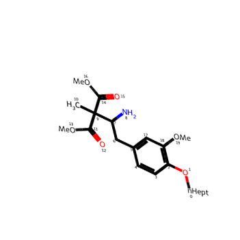 CCCCCCCOc1ccc(CC(N)C(C)(C(=O)OC)C(=O)OC)cc1OC